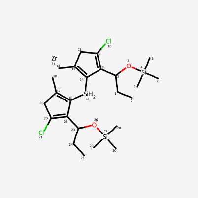 CCC(O[Si](C)(C)C)C1=C(Cl)CC(C)=C1[SiH2]C1=C(C)CC(Cl)=C1C(CC)O[Si](C)(C)C.[Zr]